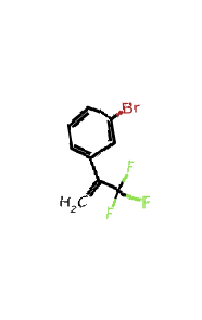 C=C(c1cccc(Br)c1)C(F)(F)F